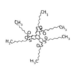 CCCCCCCCC(=O)Sc1cc2c3cc(SC(=O)CCCCCCCC)c(SC(=O)CCCCCCCC)cc3c3cc(SC(=O)CCCCCCCC)c(SC(=O)CCCCCCCC)cc3c2cc1SC(=O)CCCCCCCC